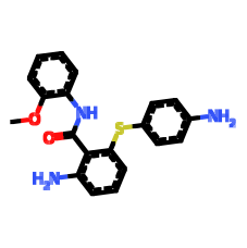 COc1ccccc1NC(=O)c1c(N)cccc1Sc1ccc(N)cc1